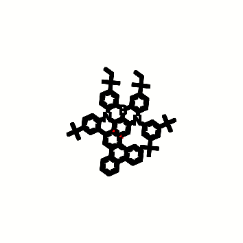 CCC(C)(C)c1ccc2c(c1)B1c3cc(C(C)(C)CC)ccc3N(c3ccc(C(C)(C)C)cc3-c3ccc4c5ccccc5c5ccccc5c4c3)c3cccc(c31)N2c1cc(C(C)(C)C)cc(C(C)(C)C)c1